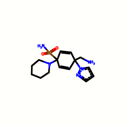 NCC1(n2cccn2)C=CC(N2CCCCC2)(S(N)(=O)=O)C=C1